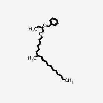 CCCCCCCCC/C=C/C(C)CCCCCCOCC(CC)OCc1ccccc1